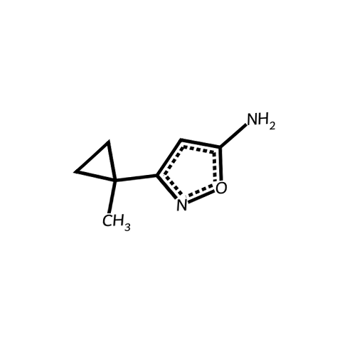 CC1(c2cc(N)on2)CC1